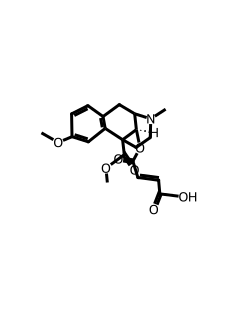 COC(=O)C12CCN(C)C(Cc3ccc(OC)cc31)[C@H]2OC(=O)/C=C/C(=O)O